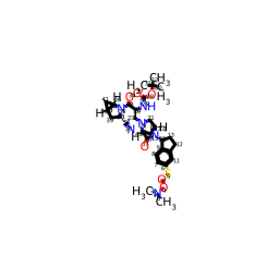 CN(C)OOSc1ccc2c(c1)CC[C@@H]2N1C(=O)[C@@H]2C[C@H]1CN2C[C@H](NC(=O)OC(C)(C)C)C(=O)N1[C@H](C#N)C[C@@H]2C[C@@H]21